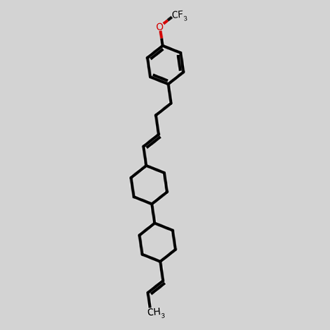 C/C=C/C1CCC(C2CCC(C=CCCc3ccc(OC(F)(F)F)cc3)CC2)CC1